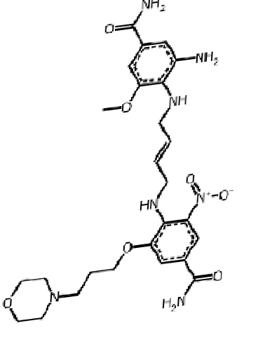 COc1cc(C(N)=O)cc(N)c1NC/C=C/CNc1c(OCCCN2CCOCC2)cc(C(N)=O)cc1[N+](=O)[O-]